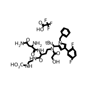 CC(C)(C)C(c1cc(-c2cc(F)ccc2F)cn1Cc1ccccc1)N(CCC(NC(=O)C(N)CC(N)=O)C(=O)NCCNC(=O)O)C(=O)CO.O=C(O)C(F)(F)F